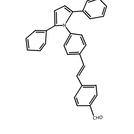 O=Cc1ccc(C=Cc2ccc(-n3c(-c4ccccc4)ccc3-c3ccccc3)cc2)cc1